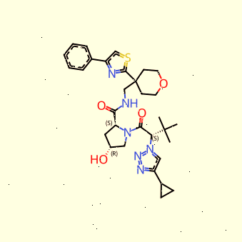 CC(C)(C)[C@@H](C(=O)N1C[C@H](O)C[C@H]1C(=O)NCC1(c2nc(-c3ccccc3)cs2)CCOCC1)n1cc(C2CC2)nn1